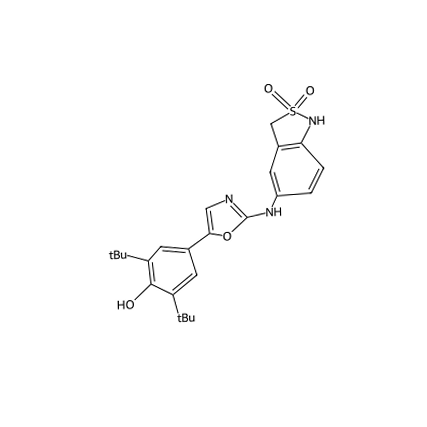 CC(C)(C)c1cc(-c2cnc(Nc3ccc4c(c3)CS(=O)(=O)N4)o2)cc(C(C)(C)C)c1O